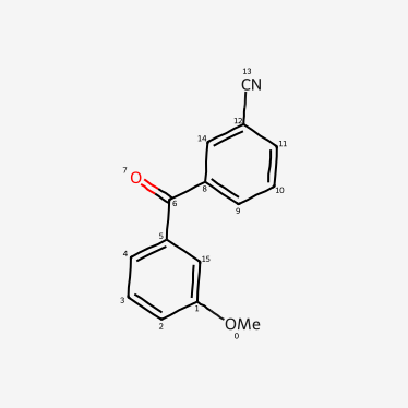 COc1cccc(C(=O)c2cccc(C#N)c2)c1